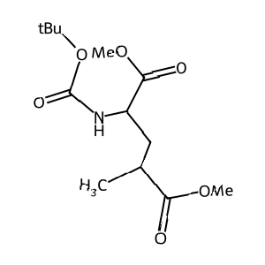 COC(=O)C(C)CC(NC(=O)OC(C)(C)C)C(=O)OC